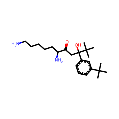 CC(C)(C)c1cccc(C(O)(CC(=O)C(N)CCCCCN)C(C)(C)C)c1